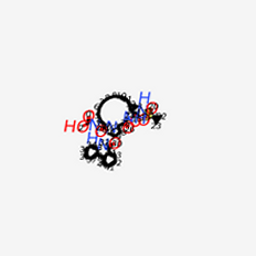 O=C(O)NC1CCCCCC=CC2CC2(C(=O)NS(=O)(=O)C2CC2)NC(=O)C2CC(Oc3nc4ccccc4c4ccccc34)CN2C1=O